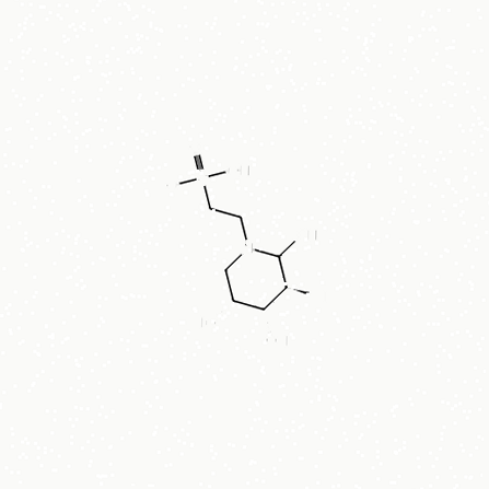 CC1[C@@H](O)[C@H](O)[C@H](O)CN1CCP(=O)(O)O